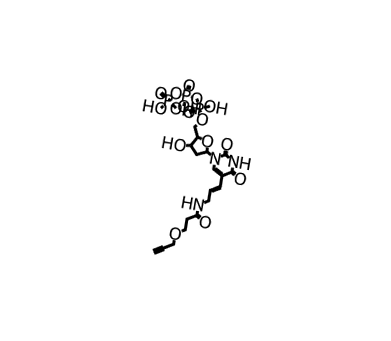 C#CCOCCC(=O)NC/C=C/c1cn(C2CC(O)C(COP(=O)(O)OP(=O)(O)OP(=O)(O)O)O2)c(=O)[nH]c1=O